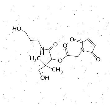 CC(C)(CO)C(OC(=O)CN1C(=O)C=CC1=O)C(=O)NCCCO